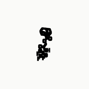 O=C(COC(=O)C12CC3CC(C1)C(=O)C(C3)C2)NS(=O)(=O)C(F)(F)F